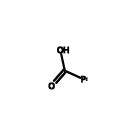 O=C(O)[P]